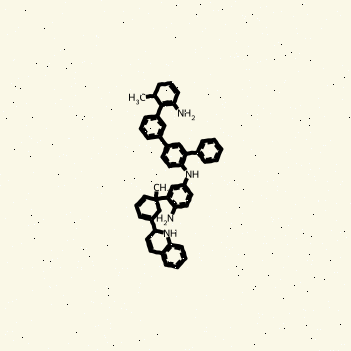 CC1CC=CC(N)=C1c1cccc(-c2ccc(Nc3ccc(N)c(C4(C)C=CC=C(C5C=Cc6ccccc6N5)C4)c3)c(-c3ccccc3)c2)c1